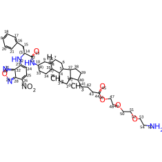 C[C@]12CCC3C(CC[C@@H]4C[C@H](NC(=O)[C@H](Cc5ccccc5)Nc5ccc([N+](=O)[O-])c6nonc56)CC[C@]34C)C1CCC2CCCC(=O)OCCOCCOCCN